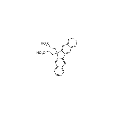 O=C(O)CCC1(CCC(=O)O)c2cc3c(cc2-c2nc4ccccc4cc21)=CCCC=3